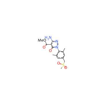 COC(=O)c1c(N)ncn(-c2c(C)cc(CS(C)(=O)=O)cc2C)c1=O